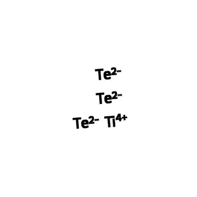 [Te-2].[Te-2].[Te-2].[Ti+4]